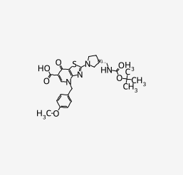 COc1ccc(Cn2cc(C(=O)O)c(=O)c3sc(N4CC[C@H](CNC(=O)OC(C)(C)C)C4)nc32)cc1